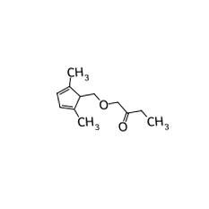 CCC(=O)COCC1C(C)=CC=C1C